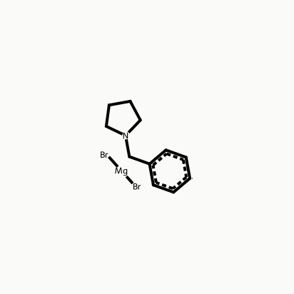 [Br][Mg][Br].[c]1ccc(CN2CCCC2)cc1